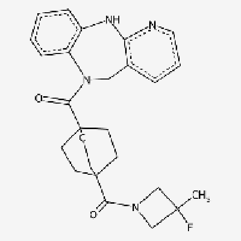 CC1(F)CN(C(=O)C23CCC(C(=O)N4Cc5cccnc5Nc5ccccc54)(CC2)CC3)C1